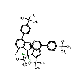 CC1=Cc2c(-c3ccc(C(C)(C)C)cc3)ccc(C)c2[CH]1[Zr]([Cl])([Cl])([CH]1C([Si](C)(C)C)=Cc2c(-c3ccc(C(C)(C)C)cc3)cccc21)[SiH](C)C